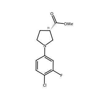 COC(=O)[C@H]1CCN(c2ccc(Cl)c(F)c2)C1